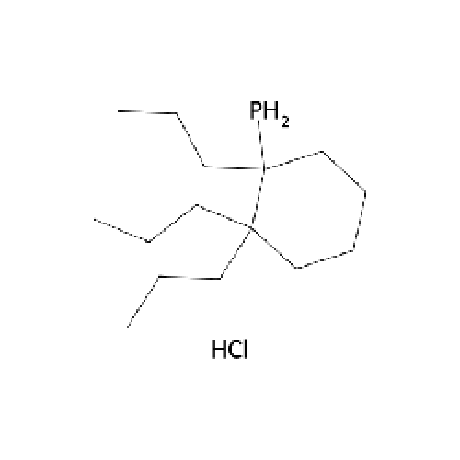 CCCC1(P)CCCCC1(CCC)CCC.Cl